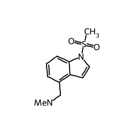 CNCc1cccc2c1ccn2S(C)(=O)=O